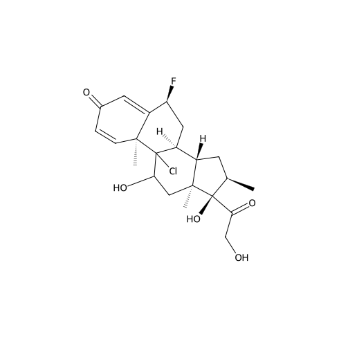 C[C@@H]1C[C@H]2[C@@H]3C[C@H](F)C4=CC(=O)C=C[C@]4(C)C3(Cl)C(O)C[C@]2(C)[C@@]1(O)C(=O)CO